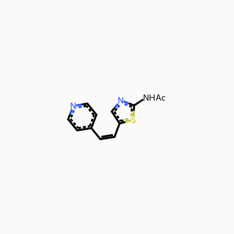 CC(=O)Nc1ncc(/C=C\c2ccncc2)s1